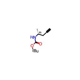 C#CC[C@@H](C)NC(=O)OC(C)(C)C